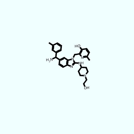 Cc1cccc(C(N)c2ccc3nc(NC4CCN(CCO)CC4)n(Cc4nc(C)ccc4O)c3c2)c1